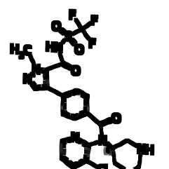 Cn1ncc(-c2ccc(C(=O)N(c3ncccc3Cl)[C@@H]3CCCNC3)cc2)c1C(=O)NS(=O)(=O)C(F)(F)F